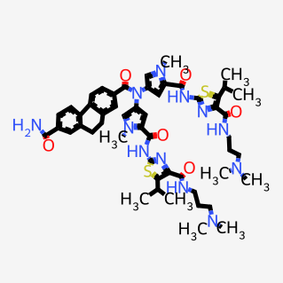 CC(C)c1sc(NC(=O)c2cc(N(C(=O)c3ccc4c(c3)CCc3cc(C(N)=O)ccc3-4)c3cc(C(=O)Nc4nc(C(=O)NCCCN(C)C)c(C(C)C)s4)n(C)c3)cn2C)nc1C(=O)NCCCN(C)C